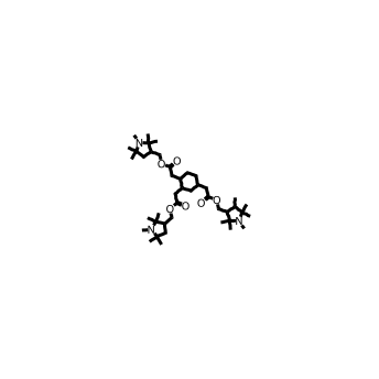 CC1C(COC(=O)CC2CCC(CC(=O)OCC3CC(C)(C)N(C)C3(C)C)C(CC(=O)OCC3CC(C)(C)N(C)C3(C)C)C2)C(C)(C)N(C)C1(C)C